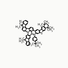 CC(C)(C)c1ccc(N2B3c4cc5c(cc4-n4c6ccc7c(c6c6ccc(c3c64)-c3cc4c(cc32)sc2cc3c(cc24)C(C)(C)CCC3(C)C)-c2ccccc2C7(C)C)C(C)(C)c2ccccc2-5)cc1